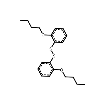 CCCCOc1ccccc1SSc1ccccc1OCCCC